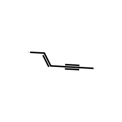 [CH2]C=CC#CC